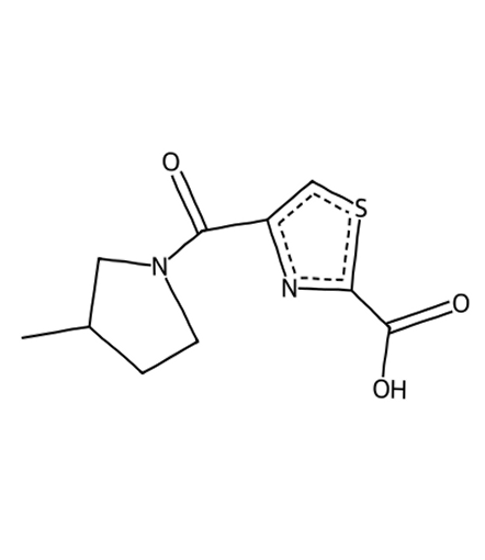 CC1CCN(C(=O)c2csc(C(=O)O)n2)C1